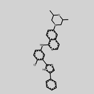 CC1CN(c2ccc3c(Nc4ccc(Cl)c(-c5ncc(-c6ccccc6)[nH]5)c4)nccc3c2)CC(C)O1